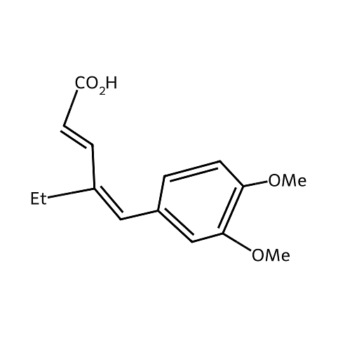 CCC(C=CC(=O)O)=Cc1ccc(OC)c(OC)c1